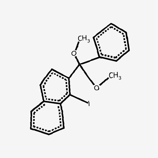 COC(OC)(c1ccccc1)c1ccc2ccccc2c1I